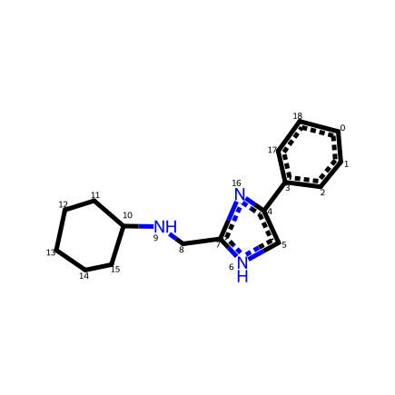 c1ccc(-c2c[nH]c(CNC3CCCCC3)n2)cc1